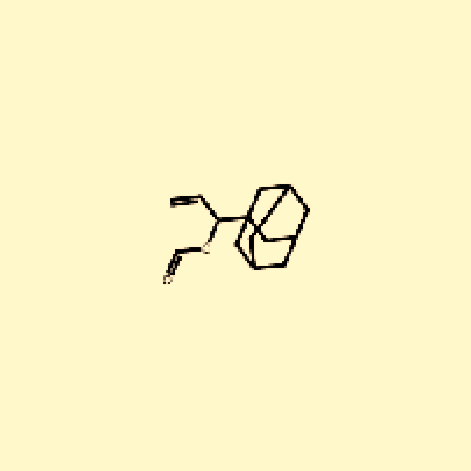 C=CC(OC=O)C12CC3CC(CC(C3)C1)C2